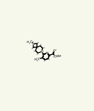 COC(=O)c1ccc(C)c(N2CCC3(CC2)CN(C)C3)n1